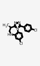 CC1CNc2cc(Cl)ccc2-n2c(-c3ccc(Cl)cc3)nnc21